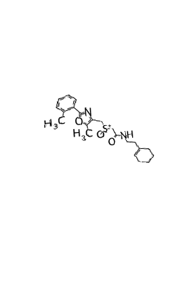 Cc1ccccc1-c1nc(C[S+]([O-])CC(=O)NCCC2=CCCCC2)c(C)o1